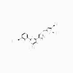 C#Cc1cccc(-c2nc(N)c(F)c(-c3cn(Cc4cc(C#N)n(C)n4)nn3)n2)c1C